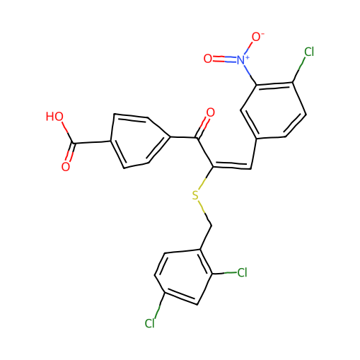 O=C(O)c1ccc(C(=O)/C(=C\c2ccc(Cl)c([N+](=O)[O-])c2)SCc2ccc(Cl)cc2Cl)cc1